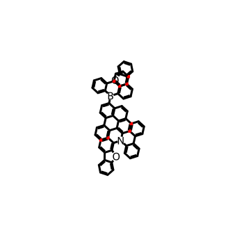 c1ccc(-c2ccccc2B(c2ccc3c4ccccc4c4c(N(c5ccccc5-c5ccccc5)c5cccc6c5oc5ccccc56)ccc5ccc2c3c54)c2cccc3c2oc2ccccc23)cc1